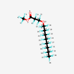 O=C(OC(F)(F)F)C(F)(F)C(F)(F)OC(F)(F)C(F)(F)C(F)(F)C(F)(F)C(F)(F)C(F)(F)C(F)(F)C(F)(F)F